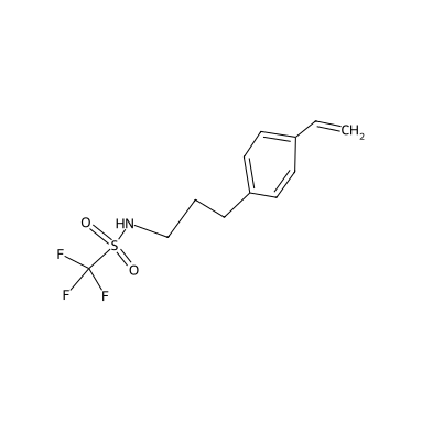 C=Cc1ccc(CCCNS(=O)(=O)C(F)(F)F)cc1